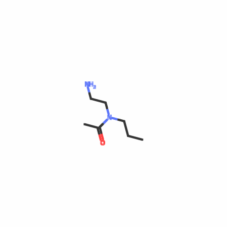 CCCN(CCN)C(C)=O